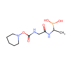 CC(NC(=O)CNC(=O)ON1CCCCC1)P(O)O